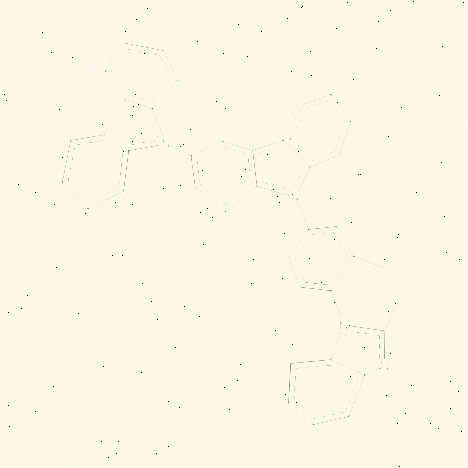 c1ccc2c(c1)nc1n2-c2ccc(-n3c4ccccc4c4cc(-n5c6ccccc6c6ccccc65)ccc43)cc2CO1